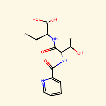 CC(C)C[C@H](NC(=O)[C@@H](NC(=O)c1ccccn1)[C@@H](C)O)B(O)O